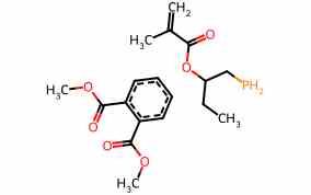 C=C(C)C(=O)OC(CC)CP.COC(=O)c1ccccc1C(=O)OC